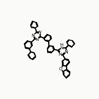 C1=CCC(c2cccc(-c3nc(-c4ccccc4)nc(-c4cccc(-c5cccc(C6=NC(c7ccc8c(c7)oc7ccccc78)=NC(c7ccccc7)N6)c5)c4)n3)c2)C=C1